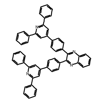 c1ccc(-c2cc(-c3ccc(-c4nc5ccccc5nc4-c4ccc(-c5cc(-c6ccccc6)nc(-c6ccccc6)c5)cc4)cc3)cc(-c3ccccc3)n2)cc1